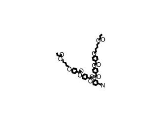 C=CC(=O)OCCCCCOc1ccc(C(=O)Oc2ccc(C(=O)Oc3ccc(C#N)cc3OC(=O)c3ccc(OC(=O)c4ccc(OCCCCCOC(=O)C=C)cc4)cc3)cc2)cc1